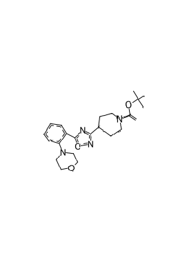 C=C(OC(C)(C)C)N1CCC(c2noc(-c3ccccc3N3CCOCC3)n2)CC1